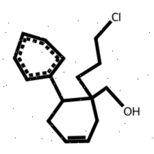 OCC1(CCCCl)CC=CCC1c1ccccc1